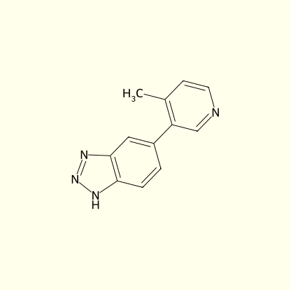 Cc1ccncc1-c1ccc2[nH]nnc2c1